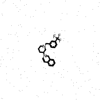 FC(F)(F)c1cccc(CN2CCCC(N3C=Cc4ccccc4C3)C2)c1